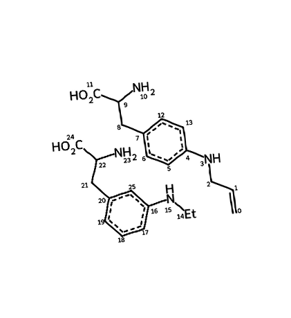 C=CCNc1ccc(CC(N)C(=O)O)cc1.CCNc1cccc(CC(N)C(=O)O)c1